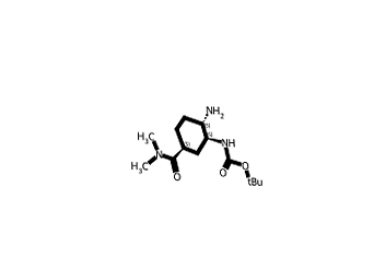 CN(C)C(=O)[C@H]1CC[C@H](N)[C@@H](NC(=O)OC(C)(C)C)C1